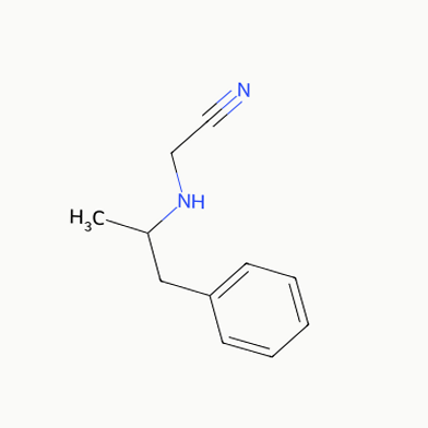 CC(Cc1ccccc1)NCC#N